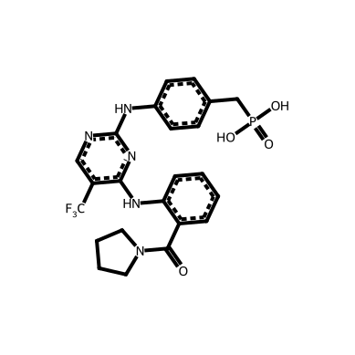 O=C(c1ccccc1Nc1nc(Nc2ccc(CP(=O)(O)O)cc2)ncc1C(F)(F)F)N1CCCC1